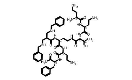 C[C@@H](O)[C@H](NC(=O)[C@H](CCN)NC(=O)[C@@H](N)CCN)C(=O)NCC[C@H](NC(=O)C(CNCc1ccccc1)CNCc1ccccc1)C(=O)N[C@@H](CCN)C(=O)N[C@H](Cc1ccccc1)C(N)=O